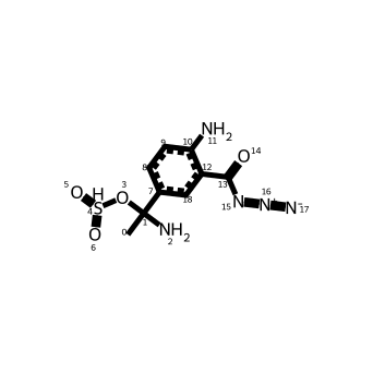 CC(N)(O[SH](=O)=O)c1ccc(N)c(C(=O)N=[N+]=[N-])c1